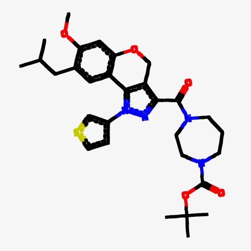 COc1cc2c(cc1CC(C)C)-c1c(c(C(=O)N3CCCN(C(=O)OC(C)(C)C)CC3)nn1-c1ccsc1)CO2